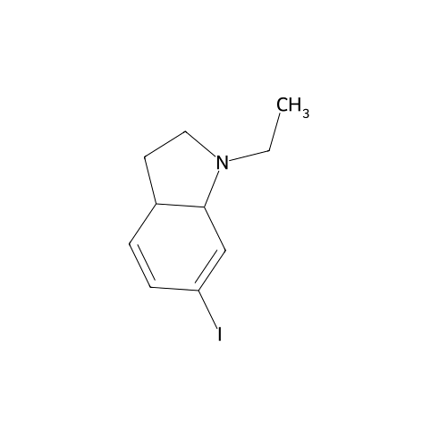 CCN1CCC2C=CC(I)=CC21